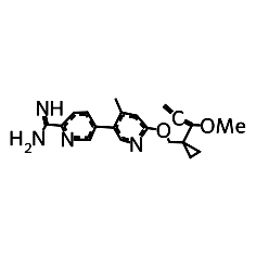 C=C=C(OC)C1(COc2cc(C)c(-c3ccc(C(=N)N)nc3)cn2)CC1